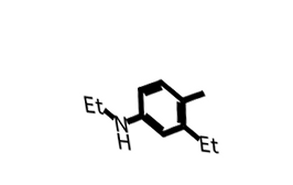 CCNc1ccc(C)c(CC)c1